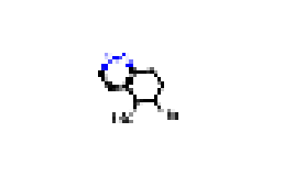 CC(C)(C)C1CCc2nnccc2C1C(C)(C)C